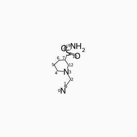 N#CCN1CCCC(S(N)(=O)=O)C1